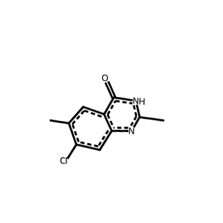 Cc1nc2cc(Cl)c(C)cc2c(=O)[nH]1